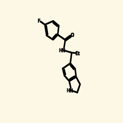 CCC(NC(=O)c1ccc(F)cc1)c1ccc2c(c1)CCN2